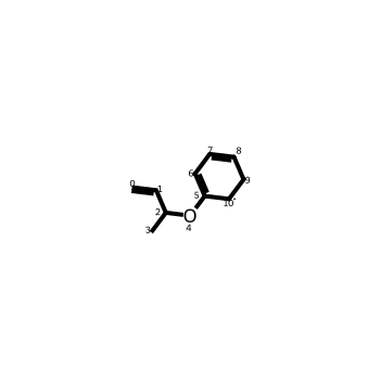 C=CC(C)OC1=CC=CC[CH]1